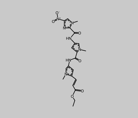 CCOC(=O)C=Cc1cc(NC(=O)c2cc(NC(=O)c3nc([N+](=O)[O-])cn3C)cn2C)cn1C